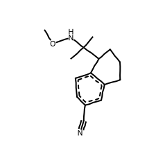 CONC(C)(C)C1CCCc2cc(C#N)ccc21